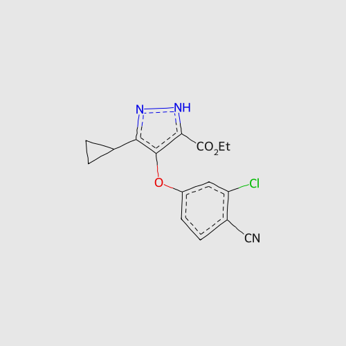 CCOC(=O)c1[nH]nc(C2CC2)c1Oc1ccc(C#N)c(Cl)c1